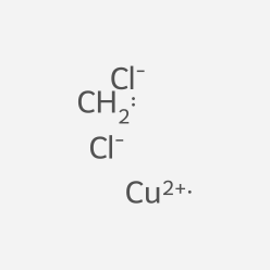 [CH2].[Cl-].[Cl-].[Cu+2]